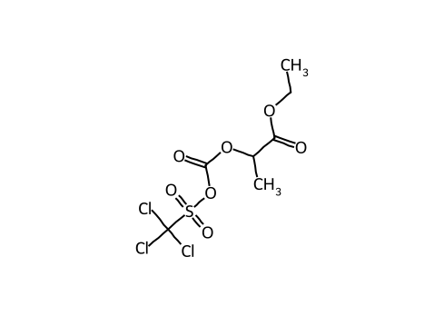 CCOC(=O)C(C)OC(=O)OS(=O)(=O)C(Cl)(Cl)Cl